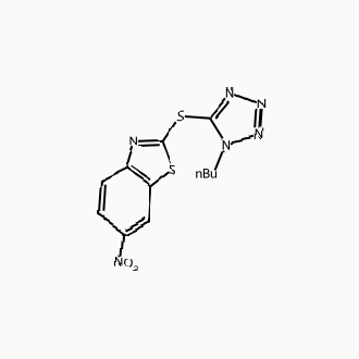 CCCCn1nnnc1Sc1nc2ccc([N+](=O)[O-])cc2s1